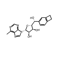 Cc1ncnc2c1ncn2[C@@H]1O[C@H]([C@H](O)c2ccc3c(c2)CC3)[C@@H](O)[C@H]1O